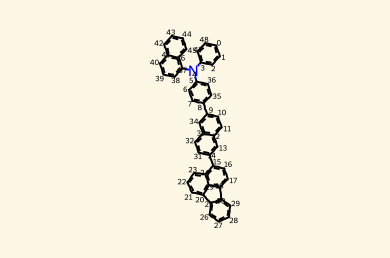 c1ccc(N(c2ccc(-c3ccc4cc(-c5ccc6c7c(cccc57)-c5ccccc5-6)ccc4c3)cc2)c2cccc3ccccc23)cc1